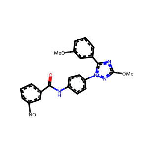 COc1cccc(-c2nc(OC)nn2-c2ccc(NC(=O)c3cccc(N=O)c3)cc2)c1